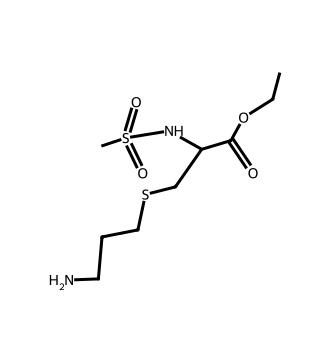 CCOC(=O)C(CSCCCN)NS(C)(=O)=O